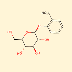 O=C(O)c1ccccc1O[C@@H]1O[C@H](CO)[C@@H](O)[C@H](O)[C@H]1O